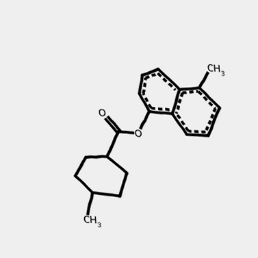 Cc1cccc2c(OC(=O)C3CCC(C)CC3)cccc12